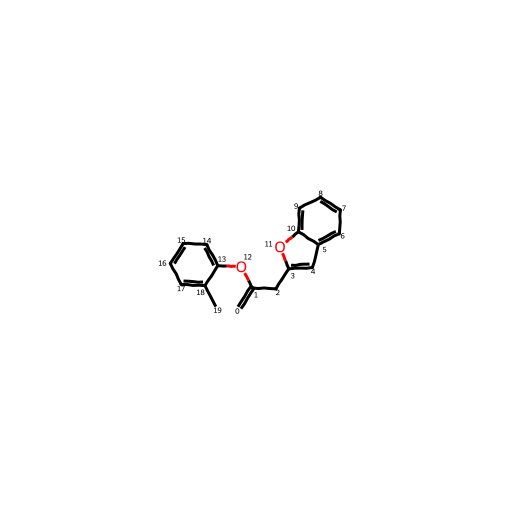 C=C(Cc1cc2ccccc2o1)Oc1ccccc1C